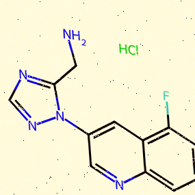 Cl.NCc1ncnn1-c1cnc2cccc(F)c2c1